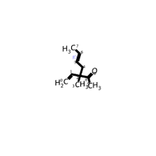 C=CC(C)(C/C=C/C)C(C)=O